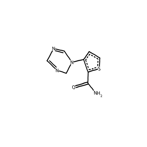 NC(=O)c1sccc1N1C=NC=NC1